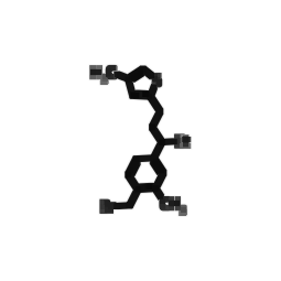 CCC(CCc1cc(C)cs1)c1ccc(CBr)c(C)c1